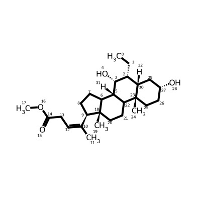 CC[C@H]1[C@@H](O)[C@H]2C3CC[C@H](/C(C)=C\CC(=O)OC)[C@@]3(C)CCC2[C@@]2(C)CC[C@@H](O)C[C@@H]12